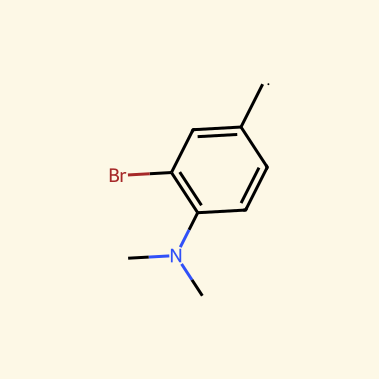 [CH2]c1ccc(N(C)C)c(Br)c1